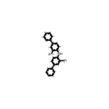 CC(C)c1cc(-c2ccccc2)ccc1Nc1ccc(-c2ccccc2)cc1C(C)C